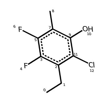 CCc1c(F)c(F)c(C)c(O)c1Cl